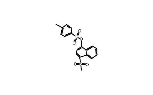 Cc1ccc(S(=O)(=O)Oc2ccc(S(C)(=O)=O)c3ccccc23)cc1